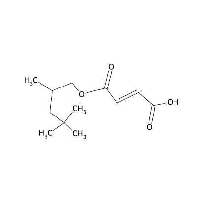 CC(COC(=O)C=CC(=O)O)CC(C)(C)C